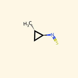 C[C@H]1C[C@@H]1N=S